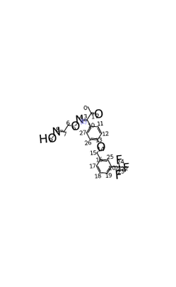 CC(=O)/C(=N/OCC=NO)c1ccc(OCc2cccc(C(F)(F)F)c2)cc1